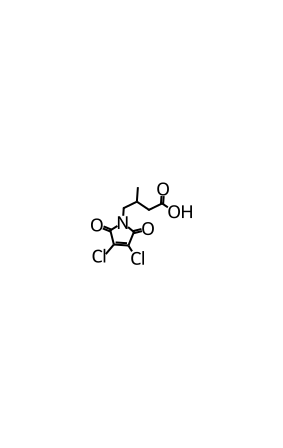 CC(CC(=O)O)CN1C(=O)C(Cl)=C(Cl)C1=O